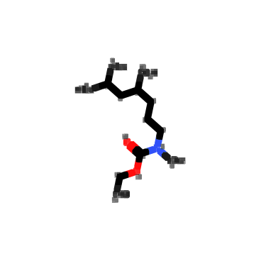 CCCCCCCCCCN(CCCC(CC(CCCCCC)CCCCCC)C(=O)O)C(=O)OCC=O